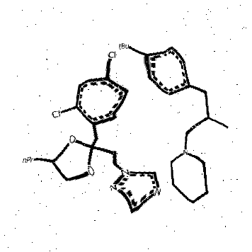 CC(Cc1ccc(C(C)(C)C)cc1)CN1CCCCC1.CCCC1COC(Cn2cncn2)(c2ccc(Cl)cc2Cl)O1